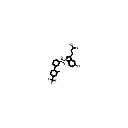 O=C(O)CCc1cn(S(=O)(=O)c2cccc(-c3ccc(C(F)(F)F)cc3F)c2)c2ccc(Cl)cc12